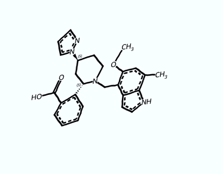 COc1cc(C)c2[nH]ccc2c1CN1CC[C@H](n2cccn2)C[C@H]1c1ccccc1C(=O)O